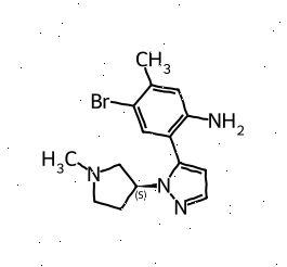 Cc1cc(N)c(-c2ccnn2[C@H]2CCN(C)C2)cc1Br